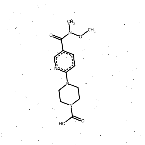 CON(C)C(=O)c1ccc(N2CCN(C(=O)O)CC2)nc1